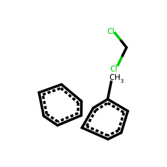 Cc1ccccc1.ClCCl.c1ccccc1